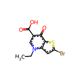 CCn1cc(C(=O)O)c(=O)c2sc(Br)cc21